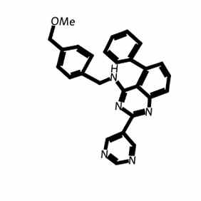 COCc1ccc(CNc2nc(-c3cncnc3)nc3cccc(-c4ccccc4)c23)cc1